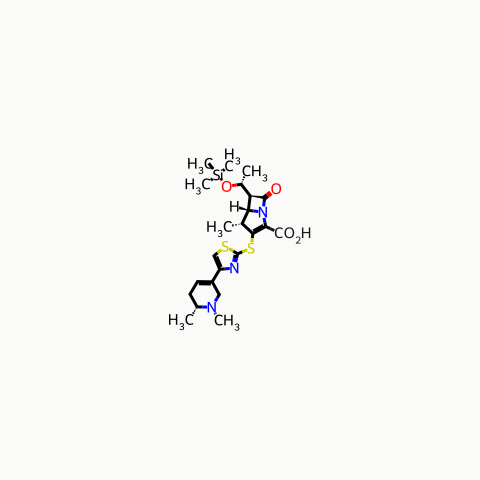 C[C@@H]1CC=C(c2csc(SC3=C(C(=O)O)N4C(=O)[C@H]([C@@H](C)O[Si](C)(C)C)[C@H]4[C@H]3C)n2)CN1C